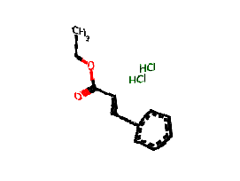 CCOC(=O)C=Cc1ccccc1.Cl.Cl